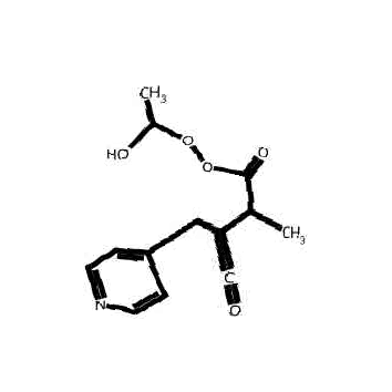 CC(O)OOC(=O)C(C)C(=C=O)Cc1ccncc1